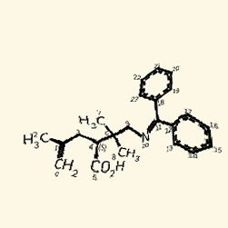 C=C(C)C[C@H](C(=O)O)C(C)(C)CN=C(c1ccccc1)c1ccccc1